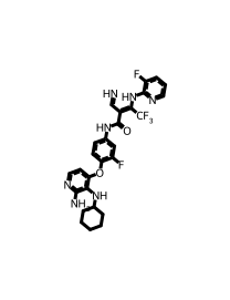 N=C/C(C(=O)Nc1ccc(Oc2ccnc(N)c2NC2CCCCC2)c(F)c1)=C(\Nc1ncccc1F)C(F)(F)F